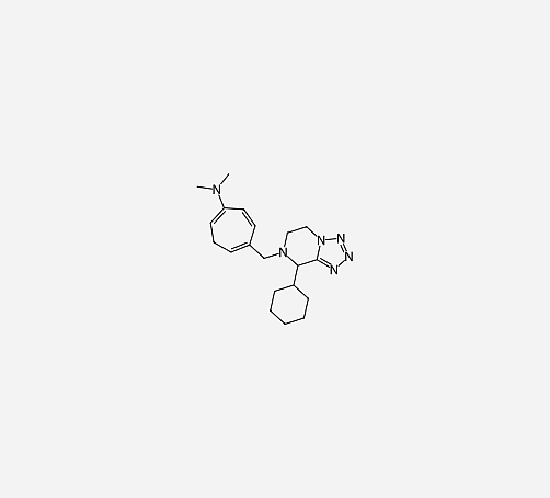 CN(C)C1=CCC=C(CN2CCn3nnnc3C2C2CCCCC2)C=C1